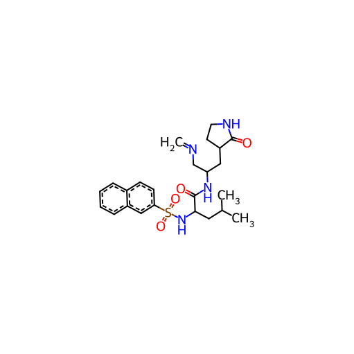 C=NCC(CC1CCNC1=O)NC(=O)C(CC(C)C)NS(=O)(=O)c1ccc2ccccc2c1